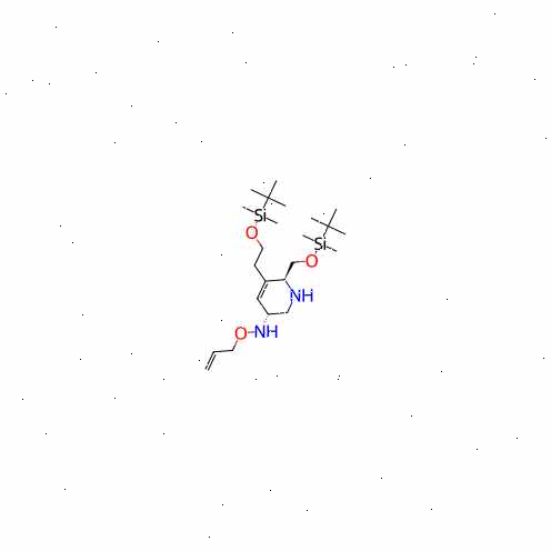 C=CCON[C@@H]1C=C(CCO[Si](C)(C)C(C)(C)C)[C@@H](CO[Si](C)(C)C(C)(C)C)NC1